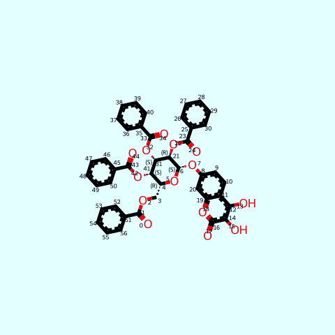 O=C(OC[C@H]1O[C@@H](Oc2ccc3c(O)c(O)c(=O)oc3c2)[C@H](OC(=O)c2ccccc2)[C@@H](OC(=O)c2ccccc2)[C@H]1OC(=O)c1ccccc1)c1ccccc1